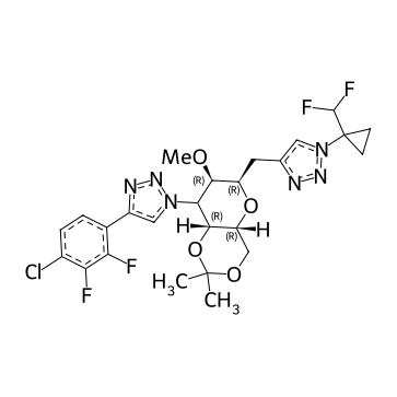 CO[C@@H]1C(n2cc(-c3ccc(Cl)c(F)c3F)nn2)[C@H]2OC(C)(C)OC[C@H]2O[C@@H]1Cc1cn(C2(C(F)F)CC2)nn1